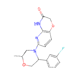 CC1CN(c2ccc3c(n2)NC(=O)CO3)C(c2cccc(F)c2)CO1